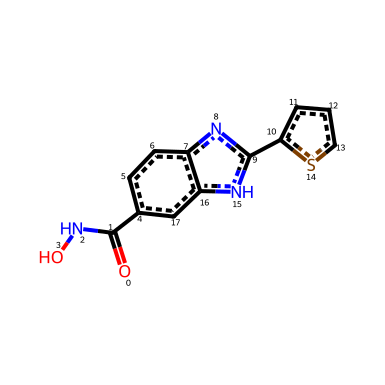 O=C(NO)c1ccc2nc(-c3cccs3)[nH]c2c1